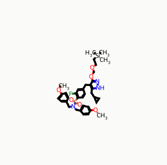 COc1ccc(CN(Cc2ccc(OC)cc2)S(=O)(=O)c2ccc(Cc3c(OCOCC[Si](C)(C)C)n[nH]c3CC3CC3)cc2F)cc1